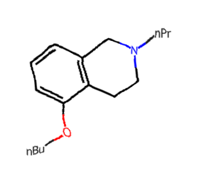 CCCCOc1cccc2c1CCN(CCC)C2